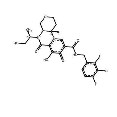 C[C@H](CO)N1C(=O)c2c(O)c(=O)c(C(=O)NCc3ccc(F)c(Cl)c3F)cn2[C@H]2CCOCC21